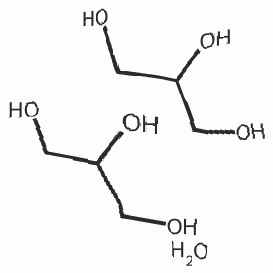 O.OCC(O)CO.OCC(O)CO